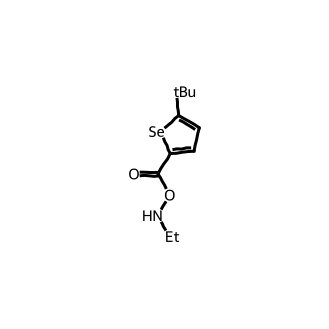 CCNOC(=O)c1ccc(C(C)(C)C)[se]1